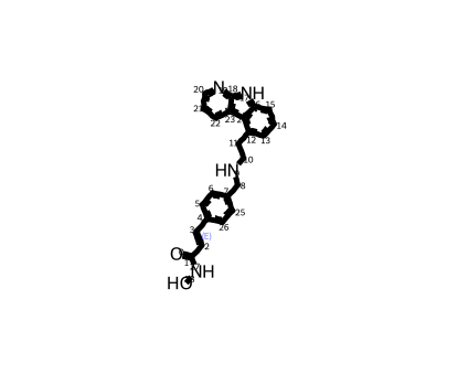 O=C(/C=C/c1ccc(CNCCc2cccc3[nH]c4ncccc4c23)cc1)NO